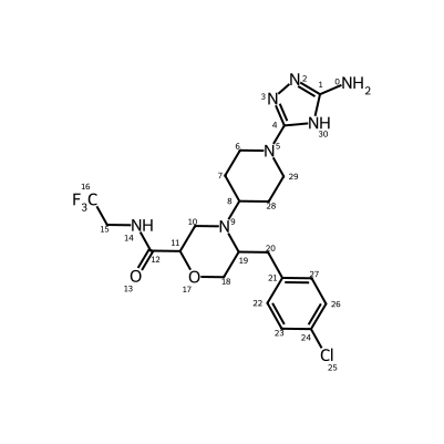 Nc1nnc(N2CCC(N3CC(C(=O)NCC(F)(F)F)OCC3Cc3ccc(Cl)cc3)CC2)[nH]1